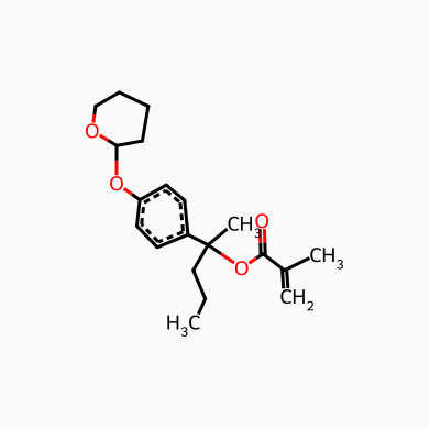 C=C(C)C(=O)OC(C)(CCC)c1ccc(OC2CCCCO2)cc1